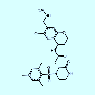 Cc1cc(C)c(S(=O)(=O)N2CCNC(=O)[C@H]2CC(=O)N[C@@H]2CCOc3cc(CNC(C)(C)C)c(Cl)cc32)c(C)c1